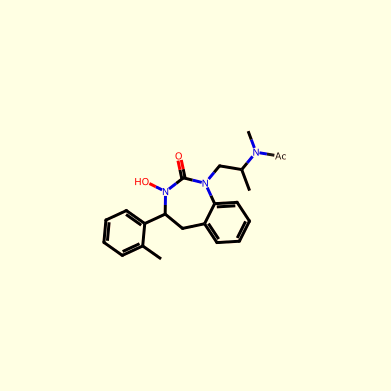 CC(=O)N(C)C(C)CN1C(=O)N(O)C(c2ccccc2C)Cc2ccccc21